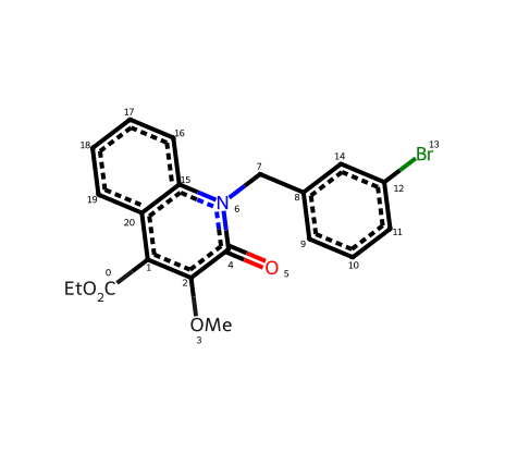 CCOC(=O)c1c(OC)c(=O)n(Cc2cccc(Br)c2)c2ccccc12